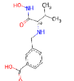 CC(C)[C@H](NCc1cccc(C(=O)O)c1)C(=O)NO